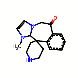 CN1C=CN2CC(=O)c3ccccc3C3(CCNCC3)C12